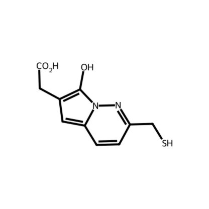 O=C(O)Cc1cc2ccc(CS)nn2c1O